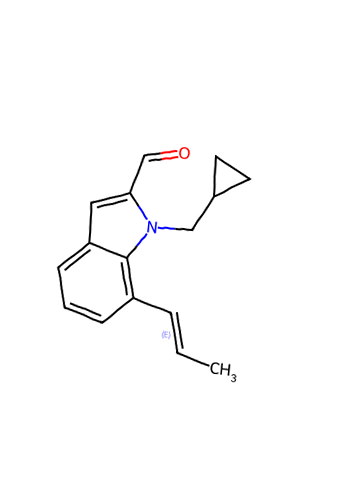 C/C=C/c1cccc2cc(C=O)n(CC3CC3)c12